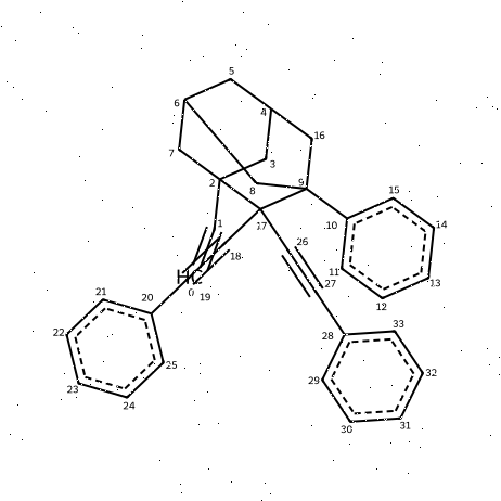 C#CC12CC3CC(C1)CC(c1ccccc1)(C3)C2(C#Cc1ccccc1)C#Cc1ccccc1